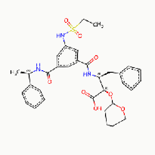 CCS(=O)(=O)Nc1cc(C(=O)N[C@@H](Cc2ccccc2)[C@@H](OC2CCCCO2)C(=O)O)cc(C(=O)N[C@H](C)c2ccccc2)c1